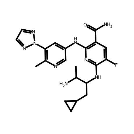 Cc1ncc(Nc2nc(NC(CC3CC3)C(C)N)c(F)cc2C(N)=O)cc1-n1nccn1